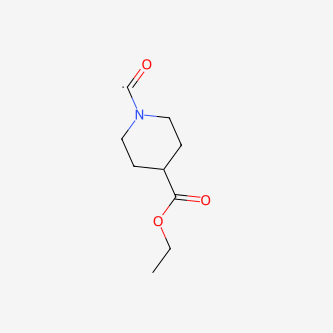 CCOC(=O)C1CCN([C]=O)CC1